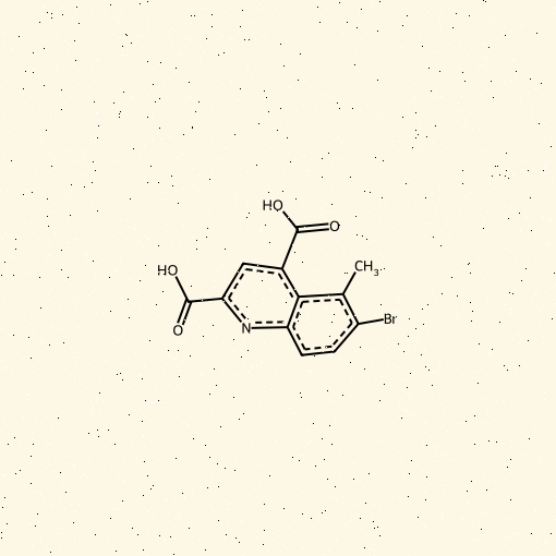 Cc1c(Br)ccc2nc(C(=O)O)cc(C(=O)O)c12